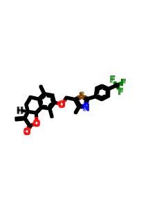 C=C1C(=O)OC2c3c(C)c(OCc4sc(-c5ccc(C(F)(F)F)cc5)nc4C)cc(C)c3CC[C@@H]12